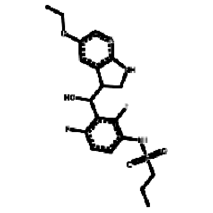 CCCS(=O)(=O)Nc1ccc(F)c(C(O)C2CNc3ncc(OCC)cc32)c1F